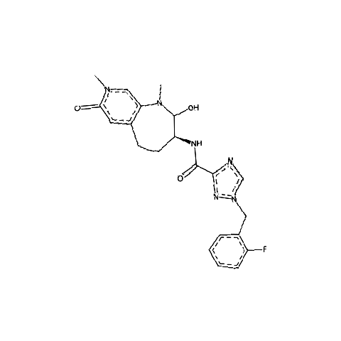 CN1c2cn(C)c(=O)cc2CC[C@H](NC(=O)c2ncn(Cc3ccccc3F)n2)C1O